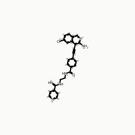 N=C(NCCNC(=O)c1ccc(C#Cc2c(N)ncc3ccc(Cl)cc23)cc1)c1ccncc1